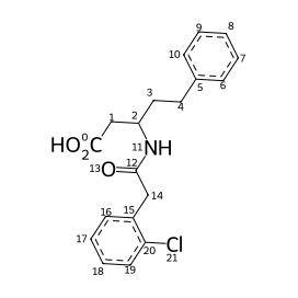 O=C(O)CC(CCc1ccccc1)NC(=O)Cc1ccccc1Cl